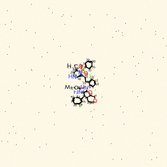 COC(=O)N[C@H](C(=O)Nc1cccc(F)c1CC[C@H]1CNC[C@@H](C)N1S(=O)(=O)c1ccccc1)C(C1=CC(F)=CC#CC1)C1CCOCC1